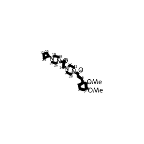 COc1cccc(/C=C/C(=O)N2CCN(CC(=O)N3CCN(C4CCC4)CC3)CC2)c1OC